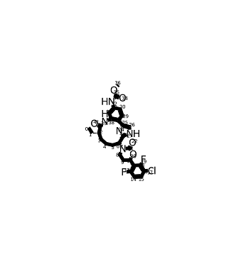 CC[C@H]1CCCC(N2CCC(c3c(F)ccc(Cl)c3F)OC2=O)c2nc(c[nH]2)-c2ccc(NC(=O)OC)cc2NC1=O